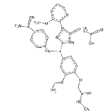 CC(=O)O.CCOc1cc(C(Nc2ccc(C(=N)N)cc2)c2nn(-c3ncccc3OC)c(=O)[nH]2)ccc1OCC(=O)NC